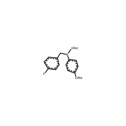 CCCCCCCCCCN(Cc1ccc(F)cc1)c1ccc(OC)cc1